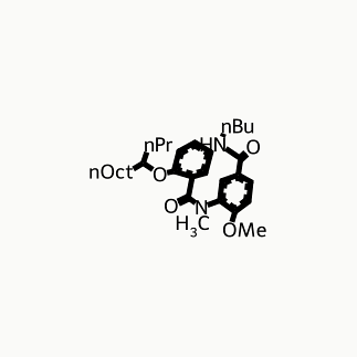 CCCCCCCCC(CCC)Oc1ccccc1C(=O)N(C)c1cc(C(=O)NCCCC)ccc1OC